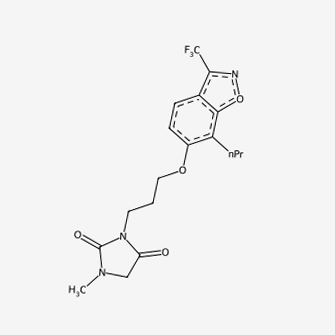 CCCc1c(OCCCN2C(=O)CN(C)C2=O)ccc2c(C(F)(F)F)noc12